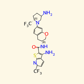 Nc1c(C(=O)N[C@H]2COc3cc(N4CC(N)CC[C@H]4C(F)(F)F)ccc3C2)sc2nc(C(F)(F)F)ccc12